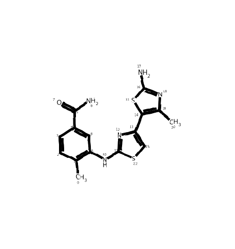 Cc1ccc(C(N)=O)cc1Nc1nc(-c2sc(N)nc2C)cs1